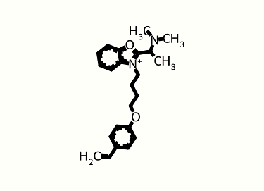 C=Cc1ccc(OCCCC[n+]2c(C(C)N(C)C)oc3ccccc32)cc1